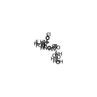 COC(=O)[C@H](CCNC(=O)C(=O)N[C@@H]1C[C@@H]2CC[C@H]1C2)NC(=O)c1ccc(Nc2nc(NC3(c4ccc(Cl)cc4)CC3)nc(OCC(F)(F)F)n2)cc1